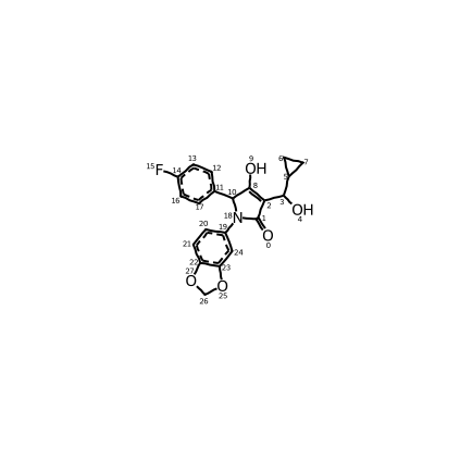 O=C1C(C(O)C2CC2)=C(O)C(c2ccc(F)cc2)N1c1ccc2c(c1)OCO2